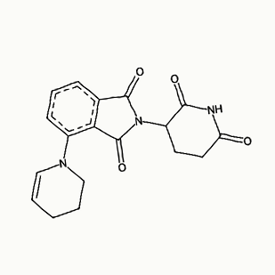 O=C1CCC(N2C(=O)c3cccc(N4C=CCCC4)c3C2=O)C(=O)N1